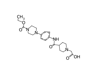 CCOC(=O)N1CCN(c2ccc(NC(=O)C3CCN(CC(=O)O)CC3)cc2)CC1